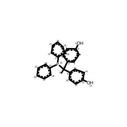 CC(c1ccc(O)cc1)(c1ccc(O)cc1)P(c1ccccc1)c1ccccc1